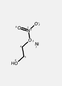 O=[N+]([O-])OCCO.[Ni]